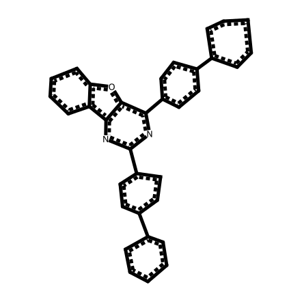 c1ccc(-c2ccc(-c3nc(-c4ccc(-c5ccccc5)cc4)c4oc5ccccc5c4n3)cc2)cc1